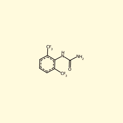 NC(=O)Nc1c(C(F)(F)F)cccc1C(F)(F)F